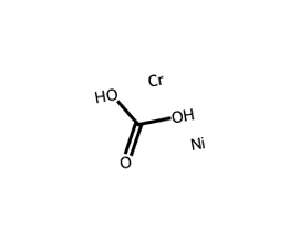 O=C(O)O.[Cr].[Ni]